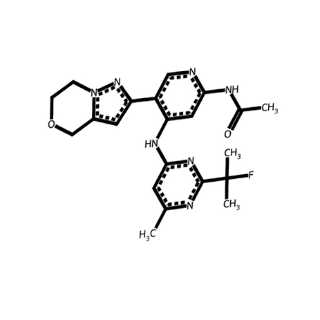 CC(=O)Nc1cc(Nc2cc(C)nc(C(C)(C)F)n2)c(-c2cc3n(n2)CCOC3)cn1